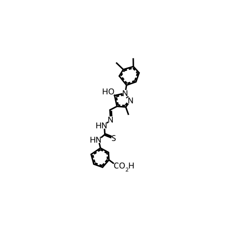 Cc1ccc(-n2nc(C)c(/C=N/NC(=S)Nc3cccc(C(=O)O)c3)c2O)cc1C